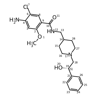 COc1cc(N)c(Cl)cc1C(=O)NCC1CCN(C[C@@H](O)c2ccccc2)CC1